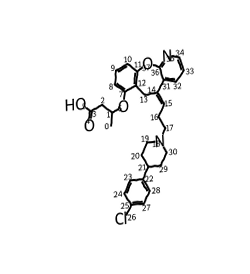 CC(CC(=O)O)Oc1cccc2c1CC(=CCCN1CCC(c3ccc(Cl)cc3)CC1)c1cccnc1O2